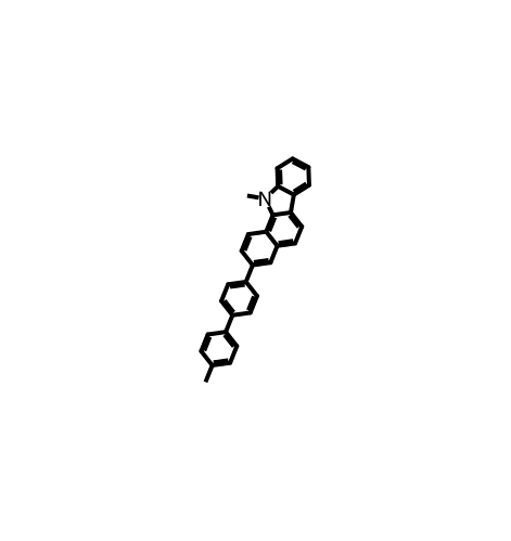 Cc1ccc(-c2ccc(-c3ccc4c(ccc5c6ccccc6n(C)c45)c3)cc2)cc1